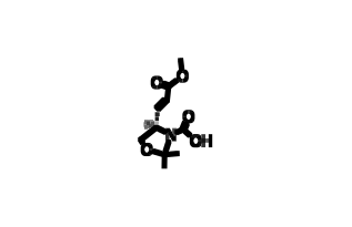 COC(=O)C=C[C@H]1COC(C)(C)N1C(=O)O